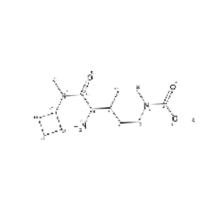 COC(=O)N1CCC(C(N)C(=O)N(C)C2CCC2)CC1